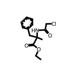 CCOC(=O)C(C)(Cc1ccccc1)NC(=O)CCl